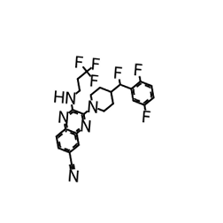 N#Cc1ccc2nc(NCCC(F)(F)F)c(N3CCC(C(F)c4cc(F)ccc4F)CC3)nc2c1